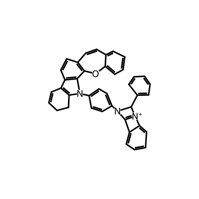 C1=Cc2c(n(-c3ccc(N4C5=[N+](c6ccccc65)C4c4ccccc4)cc3)c3c4c(ccc23)C=Cc2ccccc2O4)CC1